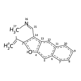 C=Cc1oc2cc3ccccc3cc2c1/C=N\C